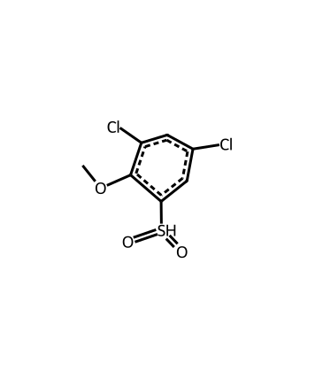 COc1c(Cl)cc(Cl)cc1[SH](=O)=O